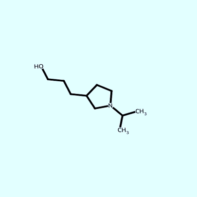 CC(C)N1CCC(CCCO)C1